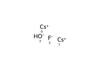 [Cs+].[Cs+].[F-].[OH-]